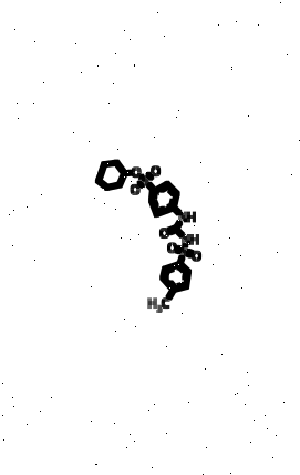 Cc1ccc(S(=O)(=O)NC(=O)Nc2ccc(S(=O)(=O)OC3CCCCC3)cc2)cc1